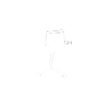 O=S(=O)=c1[nH]ncs1